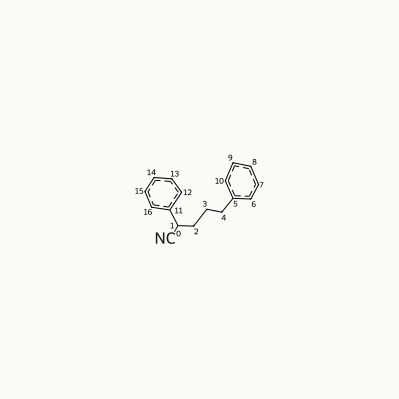 N#CC(CCCc1ccccc1)c1ccccc1